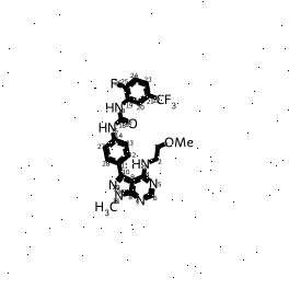 COCCNc1ncnc2c1c(-c1ccc(NC(=O)Nc3cc(C(F)(F)F)ccc3F)cc1)nn2C